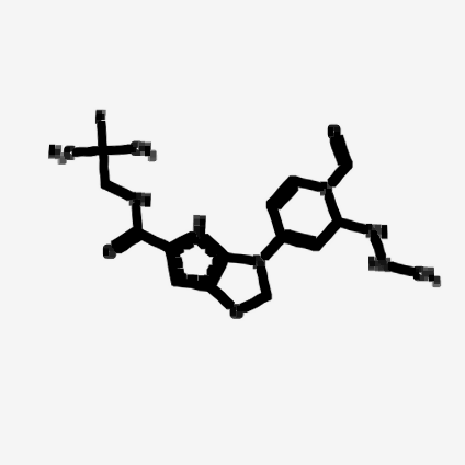 CNNC1C=C(N2COc3cc(C(=O)NCC(C)(C)F)[nH]c32)C=CN1C=O